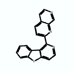 c1ccc2c(c1)sc1ccnc(-c3ccc4ccncc4n3)c12